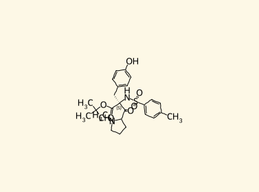 Cc1ccc(S(=O)(=O)N[C@](Cc2ccc(O)cc2)(C(=O)OC(C)(C)C)C(=O)C2CCCN2C)cc1